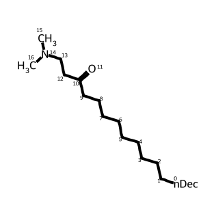 CCCCCCCCCCCCCCCCCCCC(=O)CCN(C)C